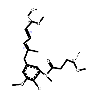 COc1cc(C/C(C)=C/C=C/[C@H](CO)OC)cc(N(C)C(=O)CC[C@H](C)OC)c1Cl